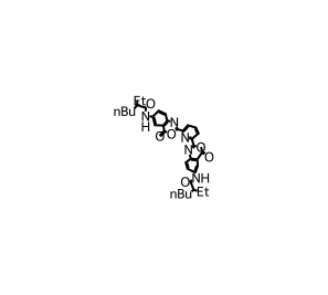 CCCCC(CC)C(=O)Nc1ccc2nc(-c3cccc(-c4nc5ccc(NC(=O)C(CC)CCCC)cc5c(=O)o4)n3)oc(=O)c2c1